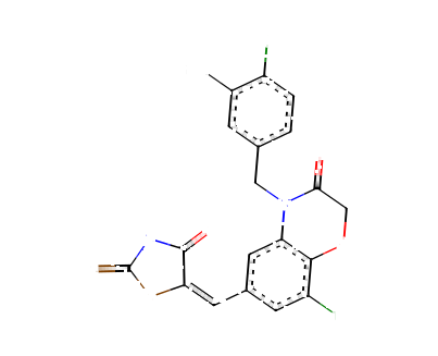 O=C1NC(=S)SC1=Cc1cc(F)c2c(c1)N(Cc1ccc(Cl)c(C(F)(F)F)c1)C(=O)CO2